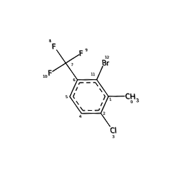 Cc1c(Cl)ccc(C(F)(F)F)c1Br